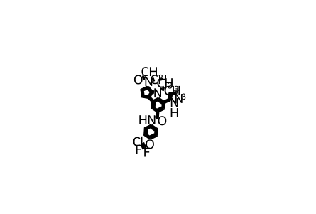 CC(=O)N(C)C1CCC2c3cc(C(=O)Nc4ccc(OC(F)(F)Cl)cc4)cc(-c4ccn[nH]4)c3N(C(C)C)C21